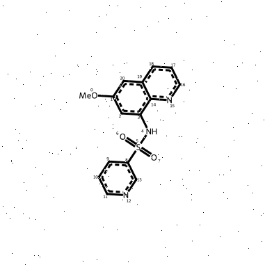 COc1cc(NS(=O)(=O)c2cccnc2)c2ncccc2c1